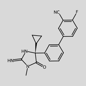 CN1C(=N)N[C@@](c2cccc(-c3ccc(F)c(C#N)c3)c2)(C2CC2)C1=O